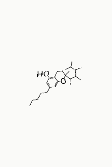 CCCCCc1cc(O)c2c(c1)OC(C)(C(C)C(C)C(C)C(C)C)CC2